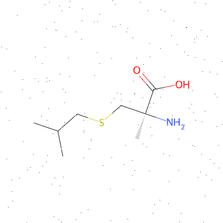 CC(C)CSC[C@](C)(N)C(=O)O